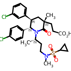 C[C@@H](CCN(C)S(=O)(=O)C1CC1)N1C(=O)[C@@](C)(CCC(=O)O)C[C@H](c2cccc(Cl)c2)[C@H]1c1ccc(Cl)cc1